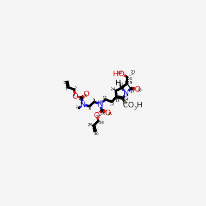 C=CCOC(=O)N(C)CCN(CCC1=C(C(=O)O)N2C(=O)[C@H]([C@@H](C)O)[C@H]2C1)C(=O)OCC=C